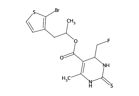 CC1=C(C(=O)OC(C)Cc2ccsc2Br)C(CF)NC(=S)N1